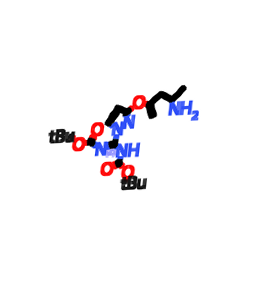 C=C(CC(C)N)Oc1ccn(/C(=N\C(=O)OC(C)(C)C)NC(=O)OC(C)(C)C)n1